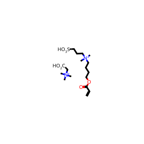 C=CC(=O)OCCCC[N+](C)(C)CCCS(=O)(=O)O.C[N+](C)(C)CC(=O)O